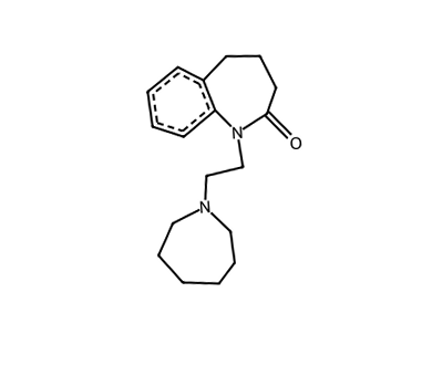 O=C1CCCc2ccccc2N1CCN1CCCCCC1